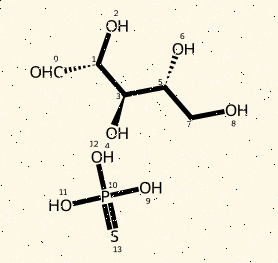 O=C[C@H](O)[C@H](O)[C@H](O)CO.OP(O)(O)=S